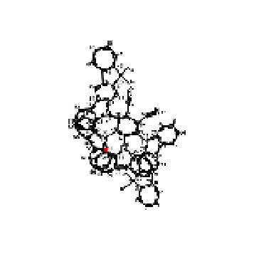 CC1(C)c2ccccc2-c2cc3c4ccccc4n(-c4c(C#N)c(C#N)c(-n5c6ccccc6c6cc7c(cc65)C(C)(C)c5ccccc5-7)c(-n5c6ccccc6c6ccccc65)c4-n4c5ccccc5c5ccccc54)c3cc21